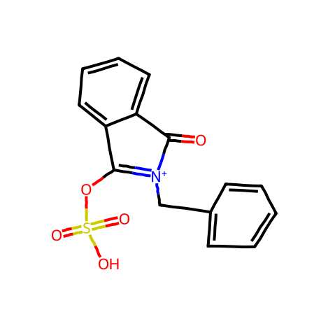 O=C1c2ccccc2C(OS(=O)(=O)O)=[N+]1Cc1ccccc1